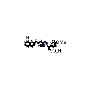 COc1ccc(C(CC(=O)O)N/C=C\C(=N)CCCc2ccc3c(n2)NCCC3)nn1